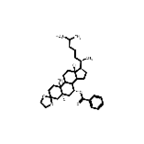 CC(CCC[C@@H](C)[C@H]1CCC2C3C(CC[C@@]21C)[C@@]1(C)CCC2(C[C@@H]1C[C@H]3OC(=O)c1ccccc1)OCCO2)C(=O)O